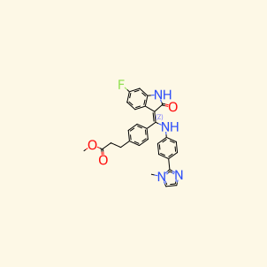 COC(=O)CCc1ccc(/C(Nc2ccc(-c3nccn3C)cc2)=C2/C(=O)Nc3cc(F)ccc32)cc1